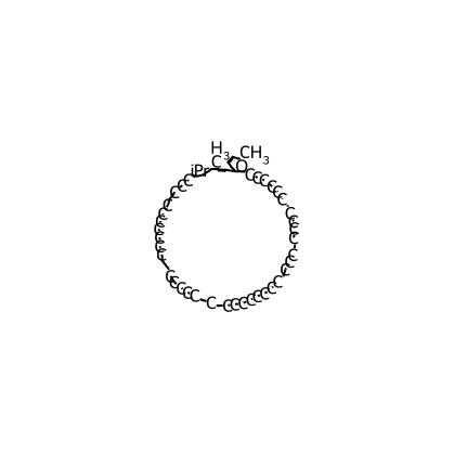 CC1=CC2(C=CC(C)O2)CCCCCCCCCCCCCCCCCCCCCCCCCCCCCCCCCCCCCCCCCCCCCCC(C(C)C)CC1